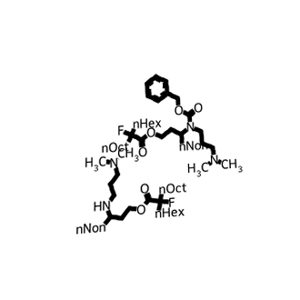 CCCCCCCCCC(CCOC(=O)C(F)(CCCCCC)CCCCCCCC)N(CCCN(C)C)C(=O)OCc1ccccc1.CCCCCCCCCC(CCOC(=O)C(F)(CCCCCC)CCCCCCCC)NCCCN(C)C